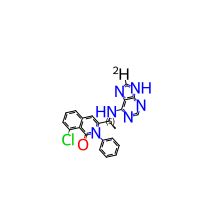 [2H]c1nc2c(N[C@@H](C)c3cc4cccc(Cl)c4c(=O)n3-c3ccccc3)ncnc2[nH]1